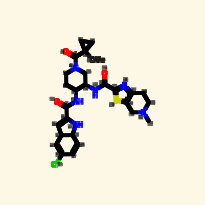 COC1(C(=O)N2CC[C@H](NC(=O)C3=CC4C=C(Cl)C=CC4N3)[C@H](NC(=O)c3nc4c(s3)CN(C)CC4)C2)CC1